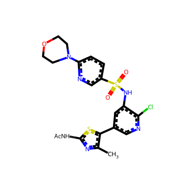 CC(=O)Nc1nc(C)c(-c2cnc(Cl)c(NS(=O)(=O)c3ccc(N4CCOCC4)nc3)c2)s1